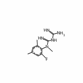 Cc1cc(C)c(N(C)C(=N)NC(=N)N)c(F)c1